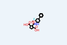 COC1(F)CC(c2ccccc2)=CC=C1NC(=O)C1=C(C(=O)O)CCC1C(=O)O